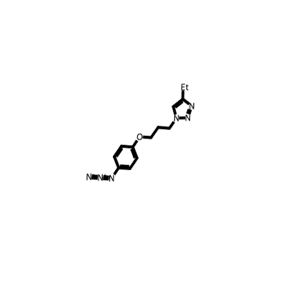 CCc1cn(CCCOc2ccc(N=[N+]=[N-])cc2)nn1